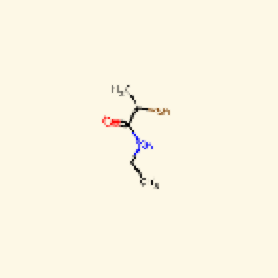 CCNC(=O)[C@@H](C)S